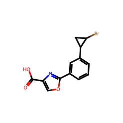 O=C(O)c1coc(-c2cccc(C3CC3Br)c2)n1